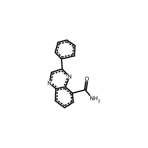 NC(=O)c1cccc2ncc(-c3ccccc3)nc12